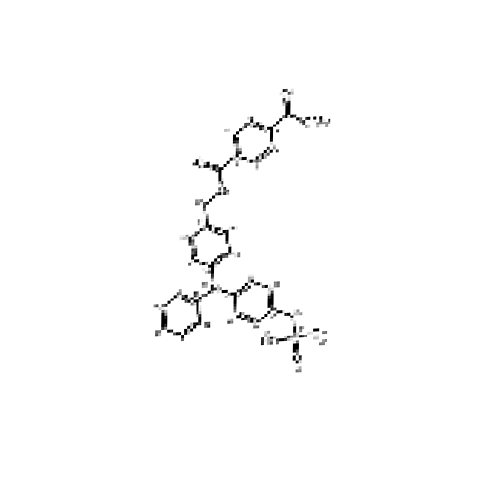 COC(=O)c1ccc(C(=O)OCc2ccc(N(c3ccccc3)c3ccc(CP(=O)(O)O)cc3)cc2)cc1